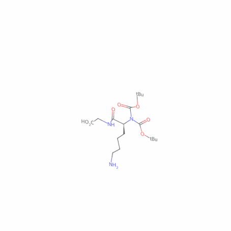 CC(C)(C)OC(=O)N(C(=O)OC(C)(C)C)[C@@H](CCCCN)C(=O)NCC(=O)O